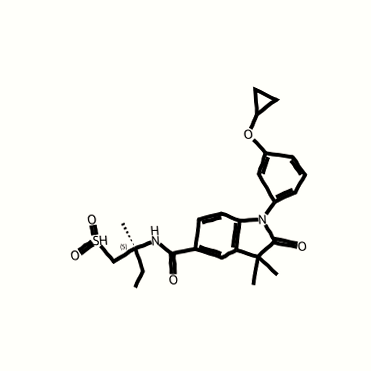 CC[C@@](C)(C[SH](=O)=O)NC(=O)c1ccc2c(c1)C(C)(C)C(=O)N2c1cccc(OC2CC2)c1